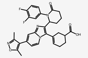 Cc1noc(C)c1-c1ccn2c(C3=CCCC(C(=O)O)C3)c(C3CCCC(=O)N3c3ccc(F)c(F)c3)nc2c1